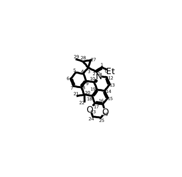 CCC=CC1(C2CC=CC3=C2c2nccc4cc5c(c(c24)C3(C)C)OCCO5)CC1C